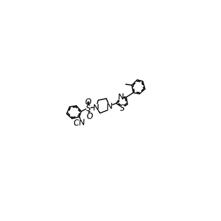 Cc1ccccc1-c1csc(N2CCN(S(=O)(=O)c3ccccc3C#N)CC2)n1